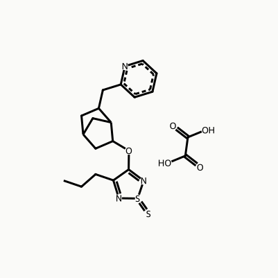 CCCC1=NS(=S)N=C1OC1CC2CC(Cc3ccccn3)C1C2.O=C(O)C(=O)O